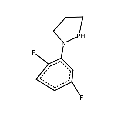 Fc1ccc(F)c(N2CCCP2)c1